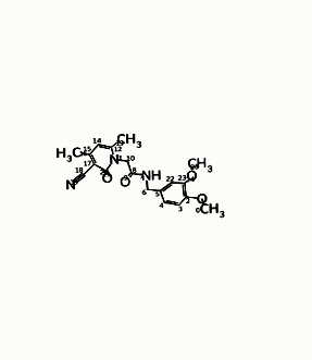 COc1ccc(CNC(=O)Cn2c(C)cc(C)c(C#N)c2=O)cc1OC